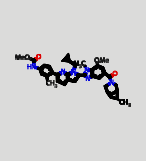 COC(=O)Nc1ccc(-c2ccc3cc(-c4nc5cc(C(=O)N6CC7CC(C6)[C@@H](C)C7)cc(OC)c5n4C)n(CC4CC4)c3n2)c(C)c1